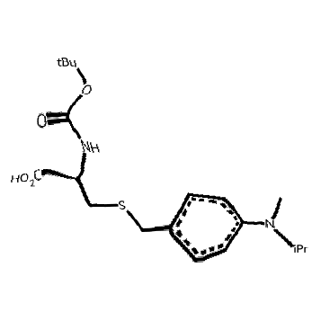 CC(C)N(C)c1ccc(CSC[C@H](NC(=O)OC(C)(C)C)C(=O)O)cc1